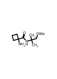 COCC(C)(C)NC(=O)C1(N)CCC1